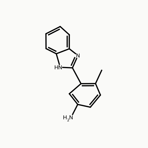 Cc1ccc(N)cc1-c1nc2ccccc2[nH]1